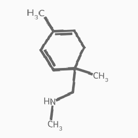 CNCC1(C)C=CC(C)=CC1